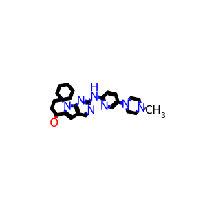 CN1CCN(c2ccc(Nc3ncc4cc5n(c4n3)C3(CCCCC3)CCC5=O)nc2)CC1